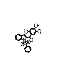 COc1cc(OC)c(C(=O)c2cc3ccccc3n2S(=O)(=O)c2ccccc2)cc1OC